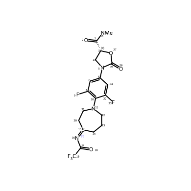 CNC(=O)[C@H]1CN(c2cc(F)c(N3CCC/S(=N\C(=O)C(F)(F)F)CC3)c(F)c2)C(=O)O1